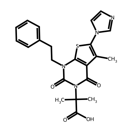 Cc1c(-n2ccnc2)sc2c1c(=O)n(C(C)(C)C(=O)O)c(=O)n2CCc1ccccc1